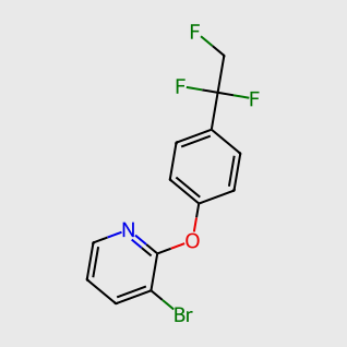 FCC(F)(F)c1ccc(Oc2ncccc2Br)cc1